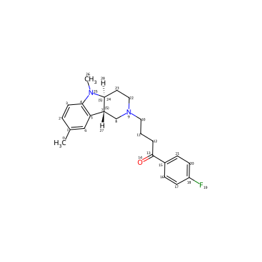 Cc1ccc2c(c1)[C@H]1CN(CCCC(=O)c3ccc(F)cc3)CC[C@@H]1N2C